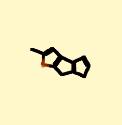 Cc1cc2c(s1)CC1=C2C=CC1